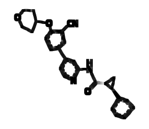 N#Cc1cc(-c2ccnc(NC(=O)[C@@H]3C[C@H]3c3ccccc3)c2)ccc1OC1CCOCC1